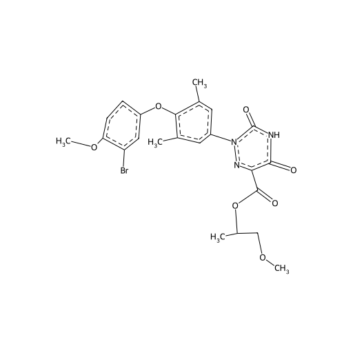 COCC(C)OC(=O)c1nn(-c2cc(C)c(Oc3ccc(OC)c(Br)c3)c(C)c2)c(=O)[nH]c1=O